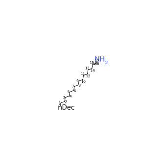 CCCCCCCCCCCCCCCCCCCCCCCCC=CN